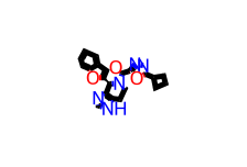 O=C(c1nnc(C2CCC2)o1)N1CCc2[nH]cnc2[C@H]1c1cc2ccccc2o1